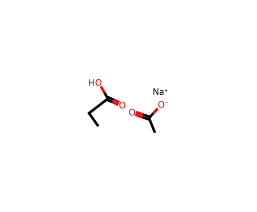 CC(=O)[O-].CCC(=O)O.[Na+]